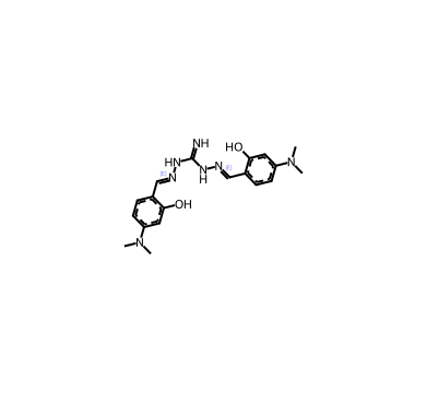 CN(C)c1ccc(/C=N/NC(=N)N/N=C/c2ccc(N(C)C)cc2O)c(O)c1